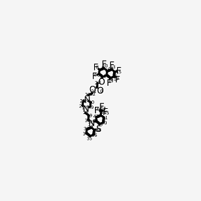 O=C(COc1c(F)c(F)c(F)c2c(F)c(F)c(F)c(F)c12)OCCN1CCN(CCCN2c3ccccc3Sc3ccc(C(F)(F)F)cc32)CC1